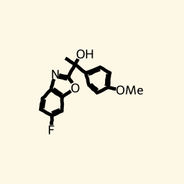 COc1ccc(C(C)(O)c2nc3ccc(F)cc3o2)cc1